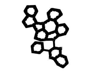 c1ccc(-c2nc3ccccc3nc2-n2c3cccc4c5ccccc5n5c6c7ccccc7ccc6c6ccc2c(c43)c65)cc1